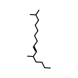 CCCCC(C)C=CCCCCCC(C)C